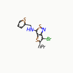 CCCc1sc2c(NCc3cccs3)snc2c1Br